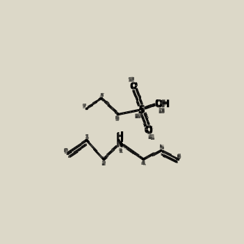 C=CCNCC=C.CCCS(=O)(=O)O